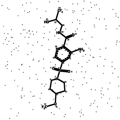 Nc1cc(S(=O)(=O)N2CCC(OC(F)(F)F)CC2)cnc1C(=O)NCC(O)C(F)(F)F